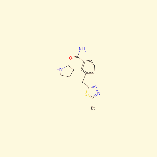 CCc1nnc(Cc2cccc(C(N)=O)c2C2CCNC2)s1